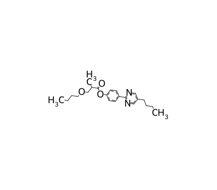 CCCCOCC(C)C(=O)Oc1ccc(-c2ncc(CCCC)cn2)cc1